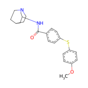 COc1ccc(Sc2ccc(C(=O)NC3CC4CCN(CC4)C3)cc2)cc1